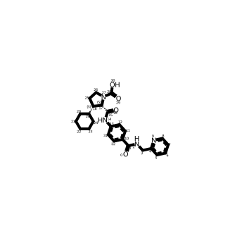 O=C(NCc1ccccn1)c1ccc(NC(=O)[C@@H]2[C@H](C3CCCCC3)CCN2C(=O)O)cc1